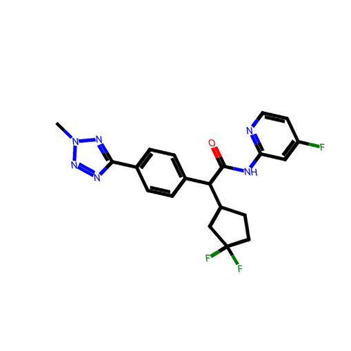 Cn1nnc(-c2ccc(C(C(=O)Nc3cc(F)ccn3)C3CCC(F)(F)C3)cc2)n1